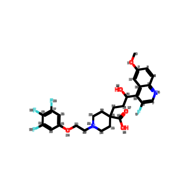 COc1ccc2ncc(F)c(C(O)CCC3(C(=O)O)CCN(CCOc4cc(F)c(F)c(F)c4)CC3)c2c1